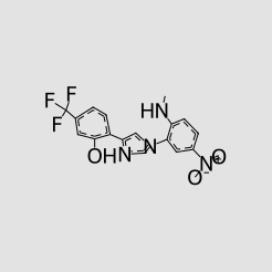 CNc1ccc([N+](=O)[O-])cc1-n1cnc(-c2ccc(C(F)(F)F)cc2O)c1